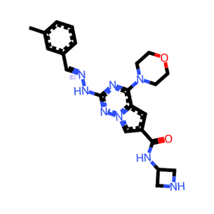 Cc1cccc(/C=N/Nc2nc(N3CCOCC3)c3cc(C(=O)NC4CNC4)cn3n2)c1